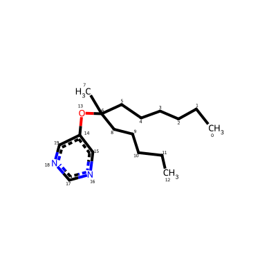 CCCCCCC(C)(CCCCC)Oc1cncnc1